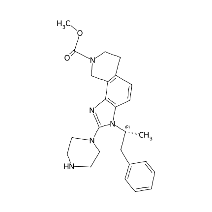 COC(=O)N1CCc2ccc3c(nc(N4CCNCC4)n3[C@H](C)Cc3ccccc3)c2C1